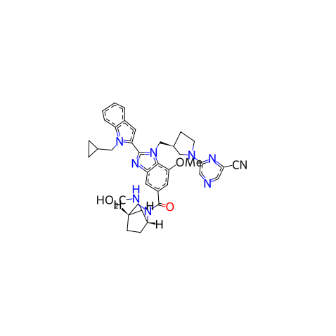 COc1cc(C(=O)N2C[C@H]3CC[C@@H]2[C@@H]3NC(=O)O)cc2nc(-c3cc4ccccc4n3CC3CC3)n(C[C@H]3CCN(c4cncc(C#N)n4)C3)c12